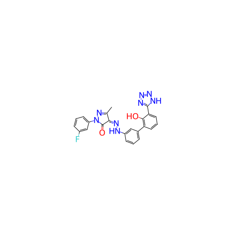 CC1=NN(c2cccc(F)c2)C(=O)C1=NNc1cccc(-c2cccc(-c3nnn[nH]3)c2O)c1